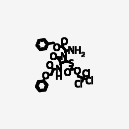 NC(C(=O)OCc1ccccc1)N1C(=O)C(NC(=O)COc2ccccc2)C1SC(=O)OCC(Cl)(Cl)Cl